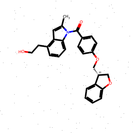 Cc1cc2c(CCO)cccc2n1C(=O)c1ccc(OC[C@@H]2COc3ccccc32)cc1